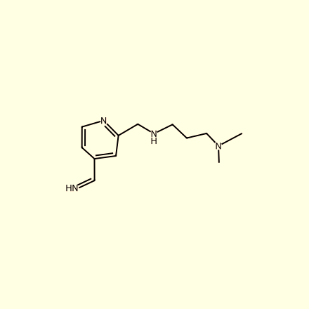 CN(C)CCCNCc1cc(C=N)ccn1